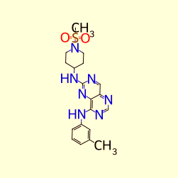 Cc1cccc(Nc2ncnc3cnc(NC4CCN(S(C)(=O)=O)CC4)nc23)c1